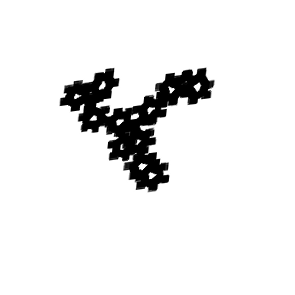 c1ccc(-c2cc(-c3cccc(-n4c5ccccc5c5ccccc54)c3)ccc2N(c2ccc(-c3ccc4ccccc4c3)cc2)c2ccc(-c3ccc4oc5ccccc5c4c3)cc2)cc1